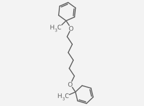 CC1(OCCCCCCOC2(C)C=CC=CC2)C=CC=CC1